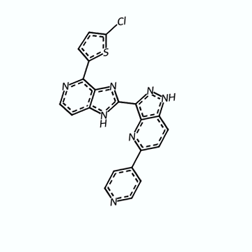 Clc1ccc(-c2nccc3[nH]c(-c4n[nH]c5ccc(-c6ccncc6)nc45)nc23)s1